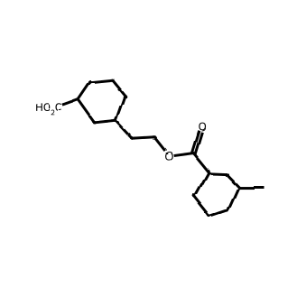 CC1CCCC(C(=O)OCCC2CCCC(C(=O)O)C2)C1